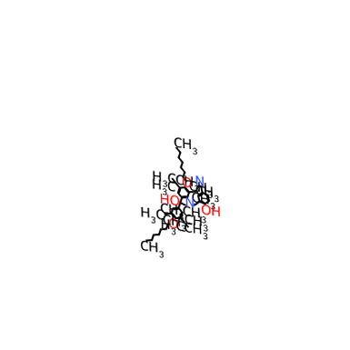 CCCCCCCCOc1c(C(C)(C)C)cc(C(O)(c2cc(C(C)(C)C)c(OCCCCCCCC)c(C(C)(C)C)c2)C(C)N=Cc2cc(C#N)ccc2O)cc1C(C)(C)C